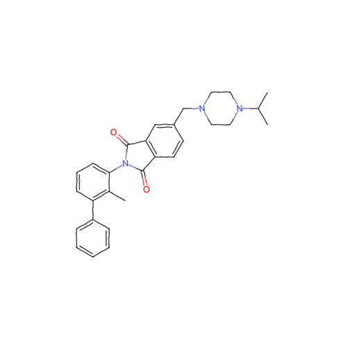 Cc1c(-c2ccccc2)cccc1N1C(=O)c2ccc(CN3CCN(C(C)C)CC3)cc2C1=O